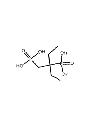 CCC(CC)(CP(=O)(O)O)P(=O)(O)O